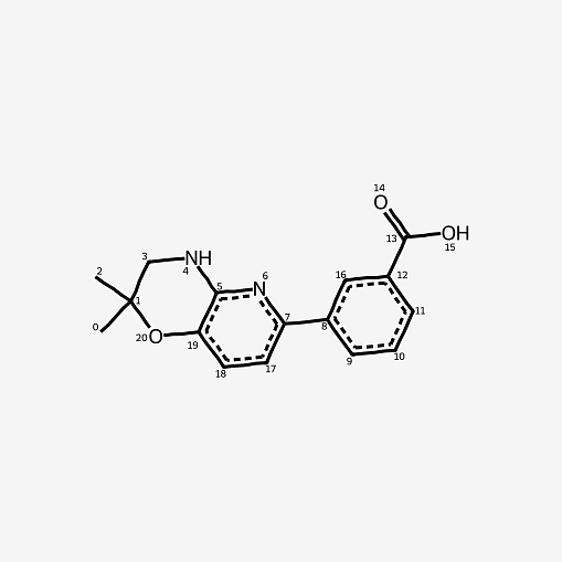 CC1(C)CNc2nc(-c3cccc(C(=O)O)c3)ccc2O1